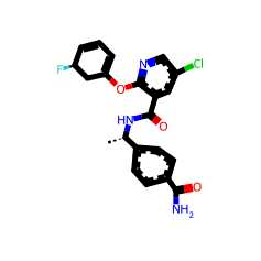 C[C@H](NC(=O)c1cc(Cl)cnc1OC1=CC=C[C@H](F)C1)c1ccc(C(N)=O)cc1